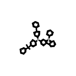 CC(C)(c1ccccc1)c1ccc(N(c2ccc(-c3ccccc3)cc2)c2ccc3c4ccccc4n(-c4ccccc4)c3c2)cc1